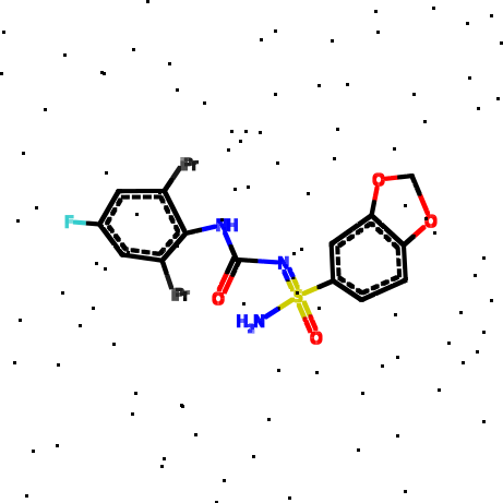 CC(C)c1cc(F)cc(C(C)C)c1NC(=O)N=S(N)(=O)c1ccc2c(c1)OCO2